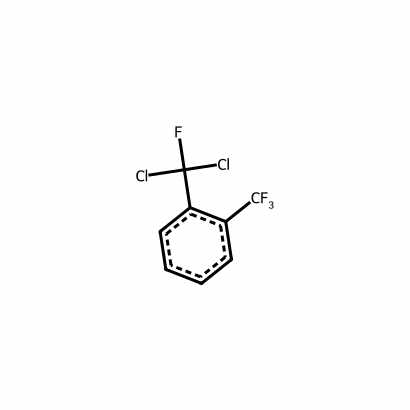 FC(F)(F)c1ccccc1C(F)(Cl)Cl